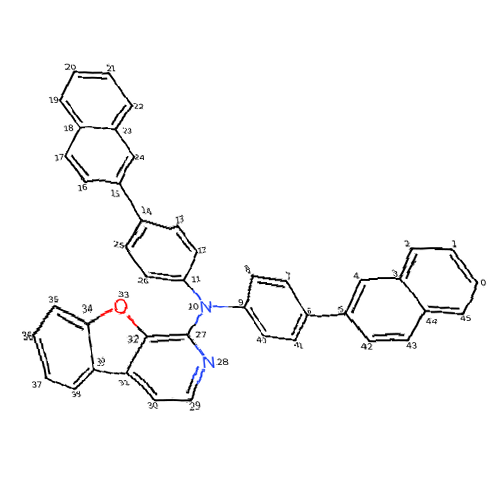 c1ccc2cc(-c3ccc(N(c4ccc(-c5ccc6ccccc6c5)cc4)c4nccc5c4oc4ccccc45)cc3)ccc2c1